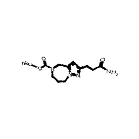 CC(C)(C)OC(=O)N1CCCn2nc(CCC(N)=O)cc2C1